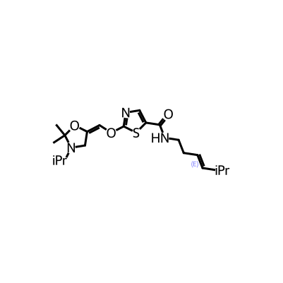 CC(C)/C=C/CCNC(=O)c1cnc(OC=C2CN(C(C)C)C(C)(C)O2)s1